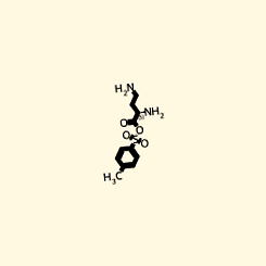 Cc1ccc(S(=O)(=O)OC(=O)[C@@H](N)CCN)cc1